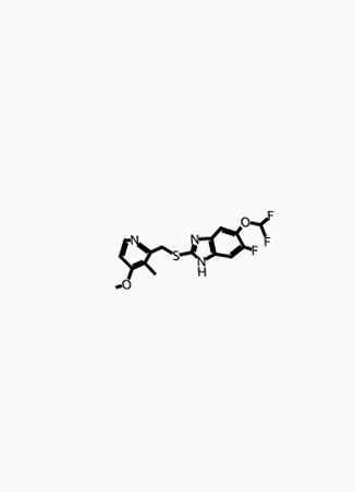 COc1ccnc(CSc2nc3cc(OC(F)F)c(F)cc3[nH]2)c1C